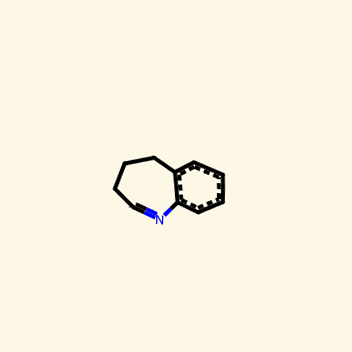 [C]1=Nc2ccccc2CCC1